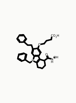 O=C(O)CCCOc1cc2c3c(n(Cc4ccccc4)c2cc1CCc1ccccc1)CCCC3C(=O)NO